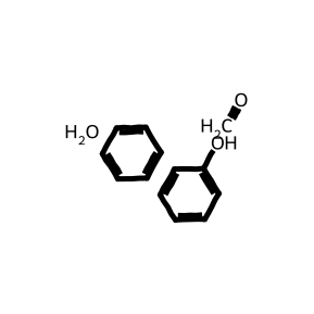 C=O.O.Oc1ccccc1.c1ccccc1